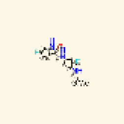 COCCNc1ccc(NC=C2C(=O)Nc3cc(F)ccc32)cc1F